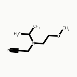 COCCN(CC#N)C(C)C